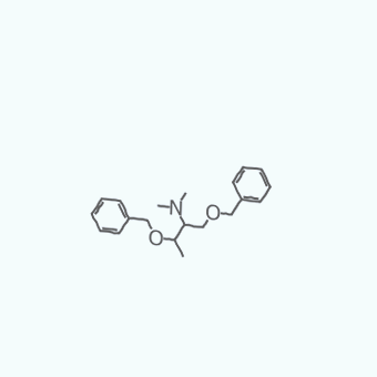 CC(OCc1ccccc1)C(COCc1ccccc1)N(C)C